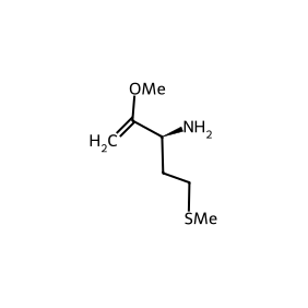 C=C(OC)[C@@H](N)CCSC